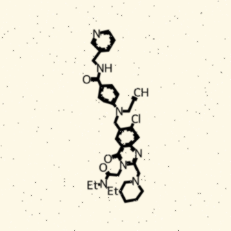 C#CCN(Cc1cc2c(=O)n(CC(=O)N(CC)CC)c(CN3CCCCC3)nc2cc1Cl)c1ccc(C(=O)NCc2cccnc2)cc1